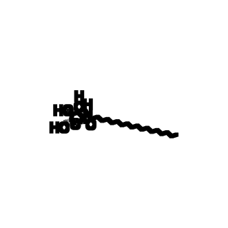 CCCCCCCCCCCCCCCCCC(=O)N[C@H]1[CH]O[C@H](CO)[C@@H](O)[C@@H]1O